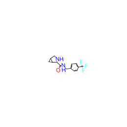 O=C(NCc1ccc(C(F)(F)F)cc1)C1NCC2CC21